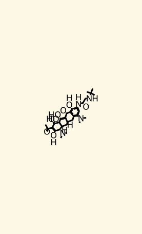 CC(=O)C1=C(O)[C@@H](N(C)C)[C@@H]2C[C@@H]3Cc4c(N(C)C)cc(NC(=O)CNC(C)(C)C)c(O)c4C(=O)C3=C(O)[C@]2(O)C1=O